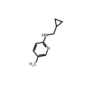 Cc1ccc(NCC2CC2)nc1